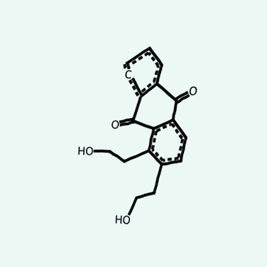 O=C1c2ccccc2C(=O)c2c1ccc(CCO)c2CCO